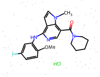 COc1ccc(F)cc1Nc1ncc(C(=O)N2CCCCC2)c2c1ccn2C.Cl